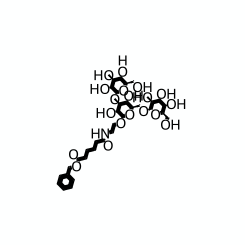 O=C(CCCCC(=O)OCc1ccccc1)NCCO[C@@H]1O[C@H](CO[C@H]2O[C@H](CO)[C@@H](O)[C@H](O)[C@@H]2O)[C@@H](O)[C@H](O[C@H]2O[C@H](CO)[C@@H](O)[C@H](O)[C@@H]2O)[C@@H]1O